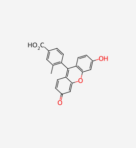 Cc1cc(C(=O)O)ccc1-c1c2ccc(=O)cc-2oc2cc(O)ccc12